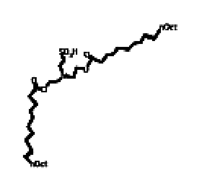 CCCCCCCCC=CCCCCCCCC(=O)OCCN(CCOC(=O)CCCCCCCC=CCCCCCCCC)CCS(=O)(=O)O